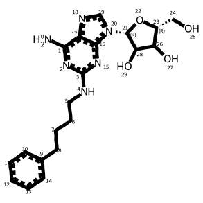 Nc1nc(NCCCCc2ccccc2)nc2c1ncn2[C@@H]1O[C@H](CO)C(O)C1O